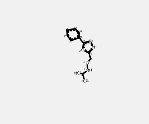 N#CC(C#N)NOCc1nnc(-c2ccccc2)o1